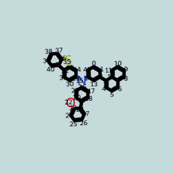 c1cc(-c2cccc3ccccc23)cc(N(c2ccc3c(c2)oc2ccccc23)c2ccc3c(c2)sc2ccccc23)c1